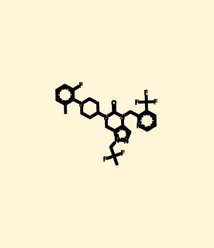 Cc1cccc(F)c1N1CCC(N2Cc3c(cnn3CC(C)(F)F)N(Cc3ncccc3C(F)(F)F)C2=O)CC1